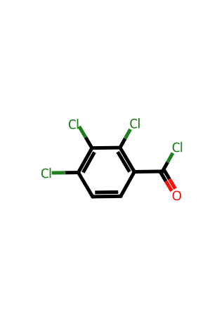 O=C(Cl)c1ccc(Cl)c(Cl)c1Cl